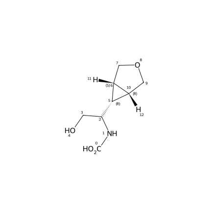 O=C(O)NC(CO)[C@@H]1[C@@H]2COC[C@@H]21